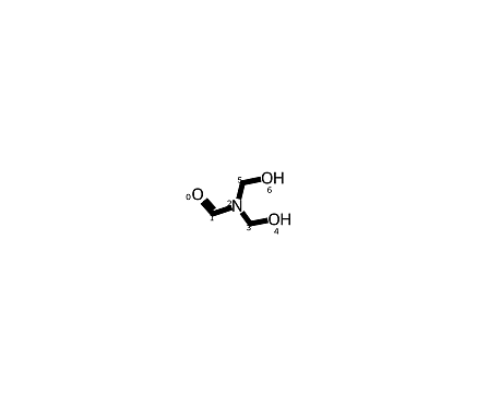 O=[C]N(CO)CO